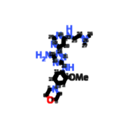 COc1cc(N2CCOCC2)ccc1Nc1nc(N)n(-c2cc(NCCN(C)C)ncn2)n1